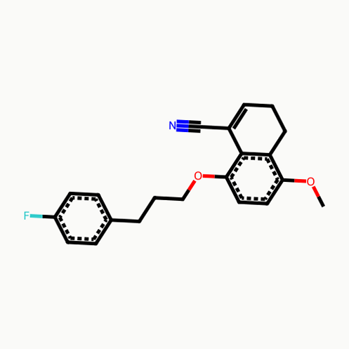 COc1ccc(OCCCc2ccc(F)cc2)c2c1CCC=C2C#N